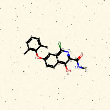 Cc1cccc(C)c1Oc1ccc2c(O)c(C(=O)[NH][Ti])nc(Cl)c2c1